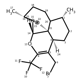 C[C@@H]1CC[C@H]2C(CBr)=C(C(F)(F)F)O[C@@H]3O[C@]4(C)CCC1[C@]32OO4